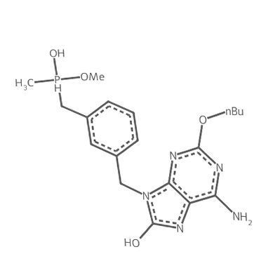 CCCCOc1nc(N)c2nc(O)n(Cc3cccc(C[PH](C)(O)OC)c3)c2n1